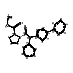 CC(C)(C)OC(=O)N1CCC[C@H]1C(=O)N(c1ccccc1)c1ccc(-c2ccccc2)cc1